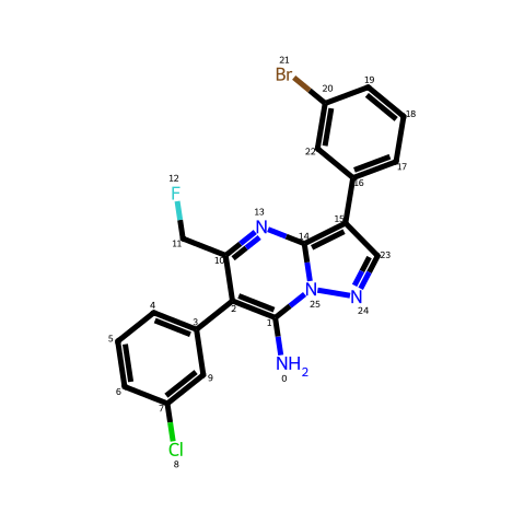 Nc1c(-c2cccc(Cl)c2)c(CF)nc2c(-c3cccc(Br)c3)cnn12